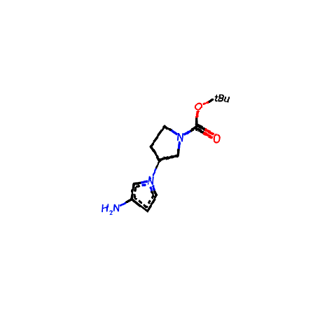 CC(C)(C)OC(=O)N1CCC(n2ccc(N)c2)C1